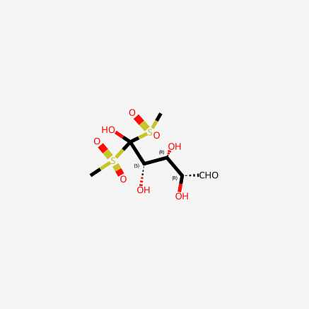 CS(=O)(=O)C(O)([C@@H](O)[C@H](O)[C@@H](O)C=O)S(C)(=O)=O